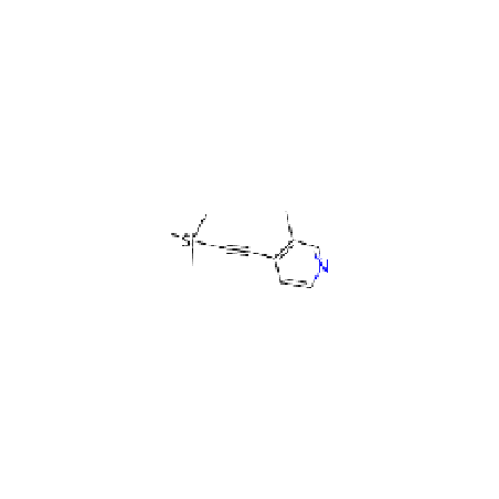 Cc1cnccc1C#C[Si](C)(C)C